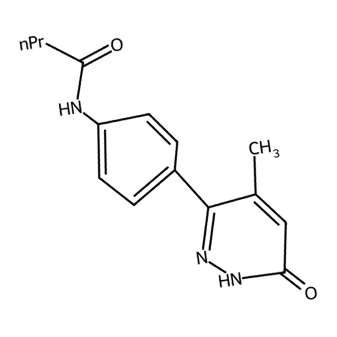 CCCC(=O)Nc1ccc(-c2n[nH]c(=O)cc2C)cc1